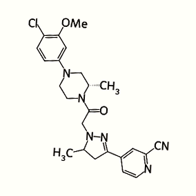 COc1cc(N2CCN(C(=O)CN3N=C(c4ccnc(C#N)c4)CC3C)[C@@H](C)C2)ccc1Cl